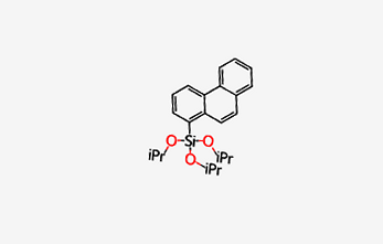 CC(C)O[Si](OC(C)C)(OC(C)C)c1cccc2c1ccc1ccccc12